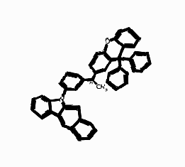 C[C@@H](c1cccc(-n2c3ccccc3c3cc4ccccc4cc32)c1)c1ccc2c(c1)C(c1ccccc1)(c1ccccc1)c1ccccc1O2